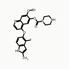 CCOc1cc2nccc(Oc3ccc4[nH]c(C)cc4c3F)c2cc1OC(=O)N1CCNCC1